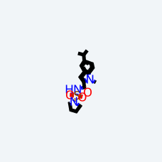 CC(C)c1ccc2c(c1)cc(C(=O)NS(=O)(=O)N1CCCC1)n2C